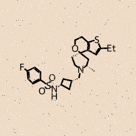 CCc1cc2c(s1)CCO[C@@]21CCN(C[C@H]2C[C@@H](NS(=O)(=O)c3ccc(F)cc3)C2)[C@@H](C)C1